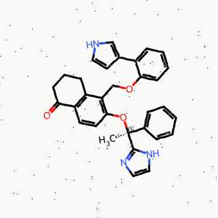 C[C@](Oc1ccc2c(c1COc1ccccc1-c1cc[nH]c1)CCCC2=O)(c1ccccc1)c1ncc[nH]1